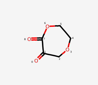 O=C1COCCOC1=O